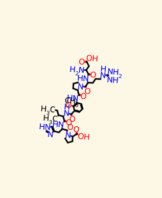 CCC(C)C(NC(=O)c1cccc(NC(=O)C2CCCN2C(=O)C(CCCNC(=N)N)NC(=O)C(N)CC(=O)O)c1OC)C(=O)NC(Cc1c[nH]cn1)C(=O)N1CCCC1C(=O)O